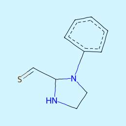 S=CC1NCCN1c1ccccc1